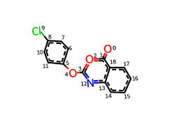 O=c1oc(Oc2ccc(Cl)cc2)nc2ccccc12